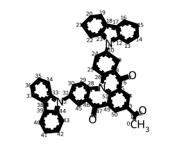 CC(=O)c1cc2c(=O)c3cc(-n4c5ccccc5c5ccccc54)ccc3n3c4ccc(-n5c6ccccc6c6ccccc65)cc4c(=O)c(c1)c23